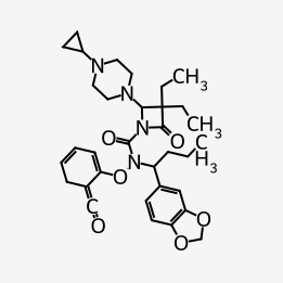 CCCC(c1ccc2c(c1)OCO2)N(OC1=CC=CCC1=C=O)C(=O)N1C(=O)C(CC)(CC)C1N1CCN(C2CC2)CC1